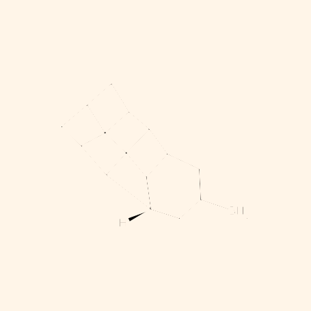 BC1CC2C3C4CC5CC6C7[C@@H](C1)C2C37C546